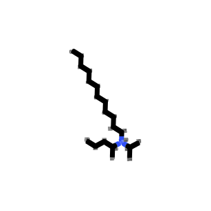 CCCCCCCCCCCCN(C(C)C)C(C)CCC